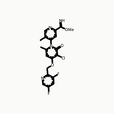 COC(=N)c1cc(-n2c(C)cc(OCc3ncc(F)cc3F)c(Cl)c2=O)c(C)cn1